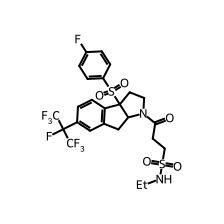 CCNS(=O)(=O)CCC(=O)N1CCC2(S(=O)(=O)c3ccc(F)cc3)c3ccc(C(F)(C(F)(F)F)C(F)(F)F)cc3CC12